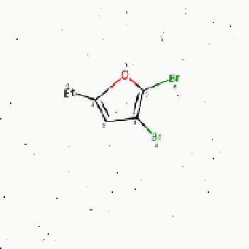 CCc1cc(Br)c(Br)o1